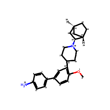 COc1ccc(-c2ccc(N)cc2)cc1C1CCN([C@H]2C[C@H]3CC[C@H]2C3)CC1